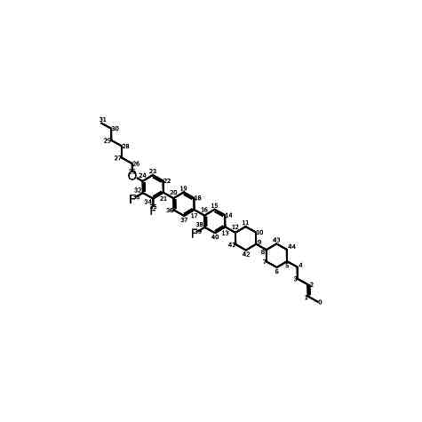 C/C=C/CCC1CCC(C2CCC(c3ccc(-c4ccc(-c5ccc(OCCCCCC)c(F)c5F)cc4)c(F)c3)CC2)CC1